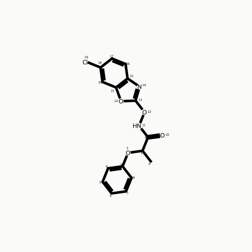 CC(Oc1ccccc1)C(=O)NOc1nc2ccc(Cl)cc2o1